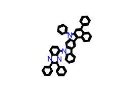 c1ccc(-c2nc3cccc(-n4c5ccccc5c5cc6c7c8ccccc8c(-c8ccccc8)cc7n(-c7ccccc7)c6cc54)c3nc2-c2ccccc2)cc1